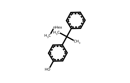 CC(C)(c1ccccc1)c1ccc(O)cc1.CCCCCCC